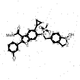 CNC(=O)c1c(-c2cccc(Cl)c2)oc2cc(N(Cc3ccc4c(c3)COB4O)S(C)(=O)=O)c(C3CC3)cc12